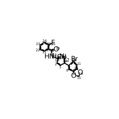 C=C(/C=C\C(=C/N)c1cc2c(cc1Br)OCO2)NC(=O)c1ccccc1F